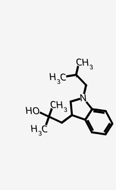 C[C](C)CN1CC(CC(C)(C)O)c2ccccc21